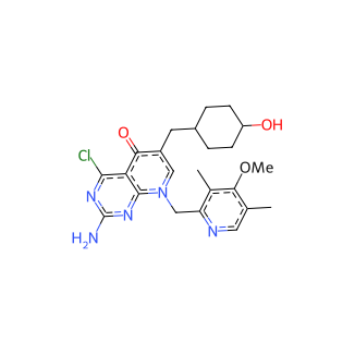 COc1c(C)cnc(Cn2cc(CC3CCC(O)CC3)c(=O)c3c(Cl)nc(N)nc32)c1C